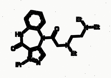 CCN(CC)CCN(CC)CC(=O)N1c2ccccc2NC(=O)c2c1cnn2C(C)C